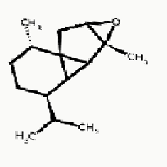 CC(C)[C@H]1CC[C@H](C)[C@]23CC4O[C@]4(C)C2C13